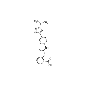 CC(C)c1n[nH]c(-c2ccc(NC(=O)Cc3ccccc3C(=O)O)cc2)n1